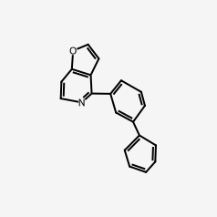 c1ccc(-c2cccc(-c3nccc4occc34)c2)cc1